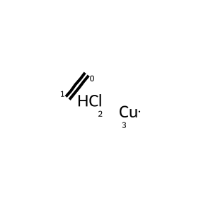 C=C.Cl.[Cu]